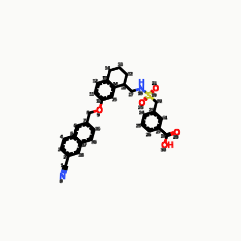 N#Cc1ccc2cc(COc3ccc4c(c3)C(CNS(=O)(=O)Cc3cccc(C(=O)O)c3)CCC4)ccc2c1